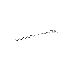 CC(C)CCCCCCCCCCCCCCCCCN